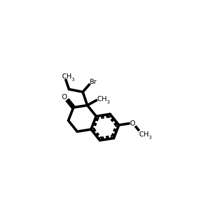 CCC(Br)C1(C)C(=O)CCc2ccc(OC)cc21